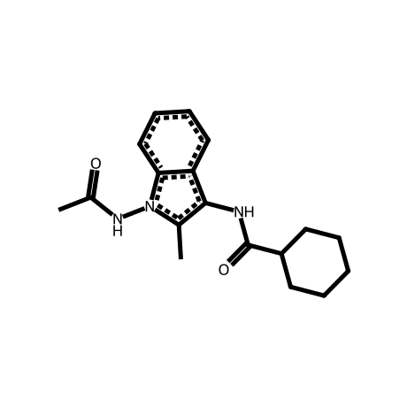 CC(=O)Nn1c(C)c(NC(=O)C2CCCCC2)c2ccccc21